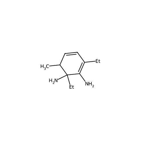 CCC1=C(N)C(N)(CC)C(C)C=C1